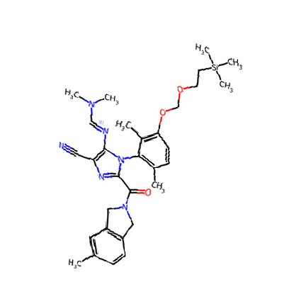 Cc1ccc2c(c1)CN(C(=O)c1nc(C#N)c(/N=C/N(C)C)n1-c1c(C)ccc(OCOCC[Si](C)(C)C)c1C)C2